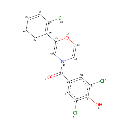 O=C(c1cc(Cl)c(O)c(Cl)c1)N1C=COC(C2=C(Cl)C=CCC2)=C1